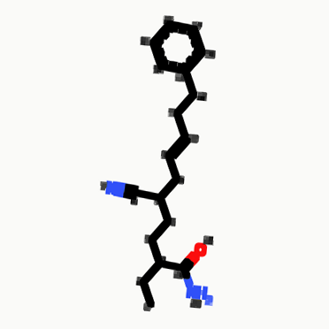 CCC(CCC(C#N)C/C=C/CCc1ccccc1)C(N)=O